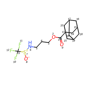 O=C(OCCCN[S+]([O-])C(F)(F)F)C12CC3CC(CC(C3)C1)C2